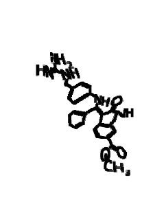 COC(=O)c1ccc2c(c1)NC(=O)/C2=C(\Nc1ccc(CNC(=N)N)cc1)c1ccccc1